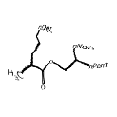 CCCCCCCCCCCCC(C)C(=O)OCC(CCCCC)CCCCCCCCC